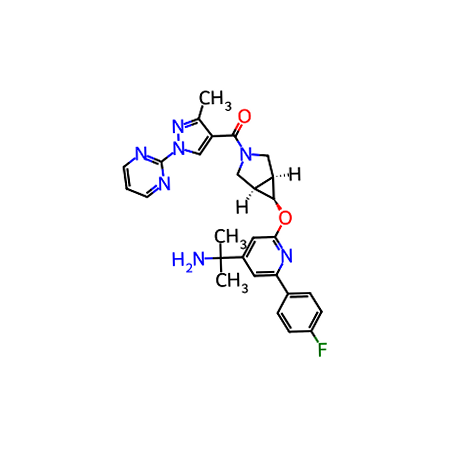 Cc1nn(-c2ncccn2)cc1C(=O)N1C[C@@H]2[C@H](C1)[C@@H]2Oc1cc(C(C)(C)N)cc(-c2ccc(F)cc2)n1